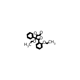 CCOc1ccccc1C(=O)C(OCC)(C(=O)C=O)c1ccccc1